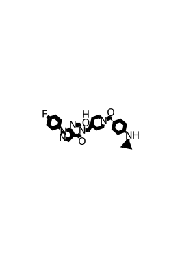 O=c1c2cnn(-c3ccc(F)cc3)c2ncn1CC1(O)CCN(C(=O)[C@H]2CC[C@H](NC3CC3)CC2)CC1